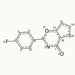 O=c1nc(-c2ccc(F)cc2)oc2ccsc12